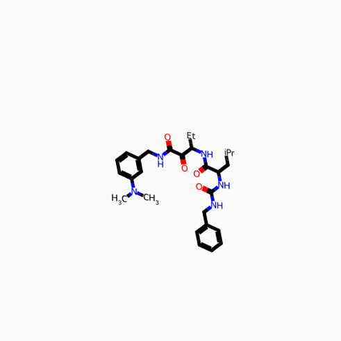 CCC(NC(=O)C(CC(C)C)NC(=O)NCc1ccccc1)C(=O)C(=O)NCc1cccc(N(C)C)c1